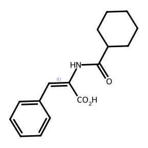 O=C(O)/C(=C\c1ccccc1)NC(=O)C1CCCCC1